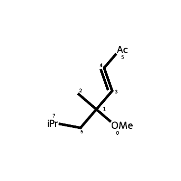 COC(C)(C=CC(C)=O)CC(C)C